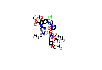 CCOC(=O)c1cn(-c2ccc(N(C)C)nc2)c2cc(N3CCC[C@@H]3COc3ncccc3OCCN(Cc3ccc(OC)cc3)C(=O)OC(C)(C)C)c(Cl)cc2c1=O